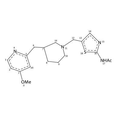 COc1ccnc(CC2CCCN(Cc3cnc(NC(C)=O)s3)C2)c1